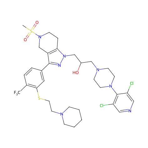 CS(=O)(=O)N1CCc2c(c(-c3ccc(C(F)(F)F)c(SCCN4CCCCC4)c3)nn2CC(O)CN2CCN(c3c(Cl)cncc3Cl)CC2)C1